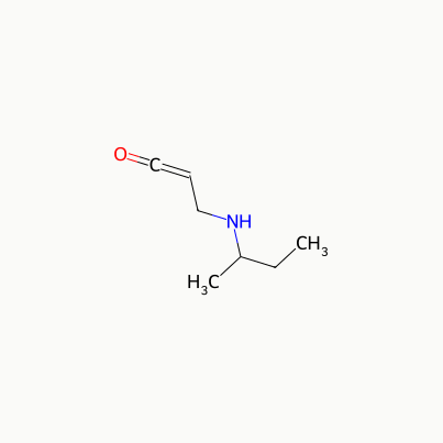 CCC(C)NCC=C=O